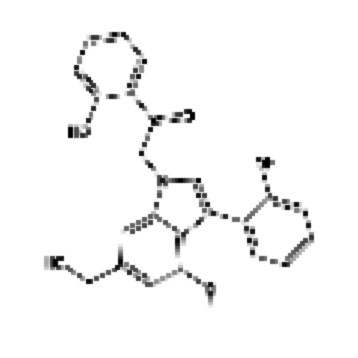 COc1cc(CO)cc2c1c(-c1ccccc1O)cn2CC(=O)c1ccccc1O